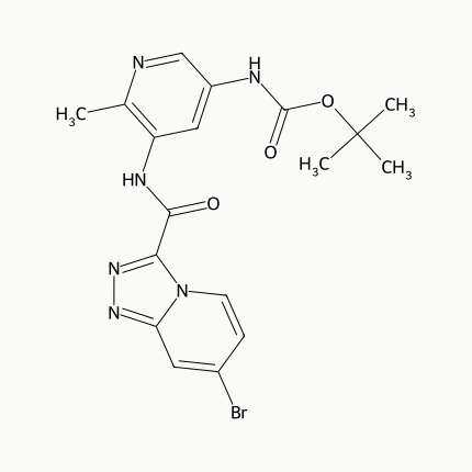 Cc1ncc(NC(=O)OC(C)(C)C)cc1NC(=O)c1nnc2cc(Br)ccn12